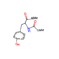 CNC(=O)C(Cc1ccc(O)cc1)NC(=O)OC